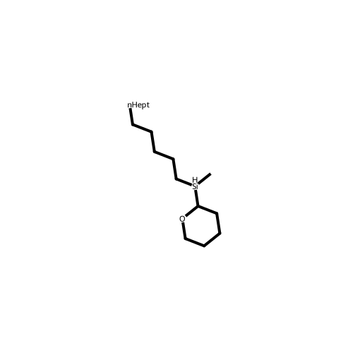 CCCCCCCCCCCC[SiH](C)C1CCCCO1